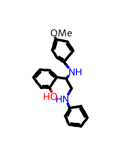 COc1ccc(NC(CNc2ccccc2)c2ccccc2O)cc1